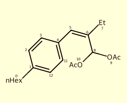 CCCCCCc1ccc(C=C(CC)C(OC(C)=O)OC(C)=O)cc1